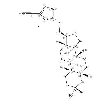 C[C@@]1(O)CC[C@H]2[C@H](CC[C@@H]3[C@@H]2CC[C@]2(C)[C@@H](SCn4cc(C#N)cn4)CC[C@@H]32)C1